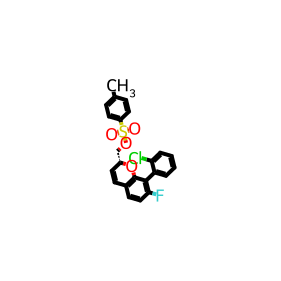 Cc1ccc(S(=O)(=O)OC[C@H]2C=Cc3ccc(F)c(-c4ccccc4Cl)c3O2)cc1